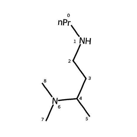 CCCNCCC(C)N(C)C